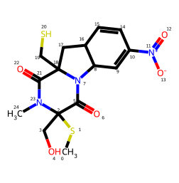 CSC1(CO)C(=O)N2C3C=C([N+](=O)[O-])C=CC3CC2(CS)C(=O)N1C